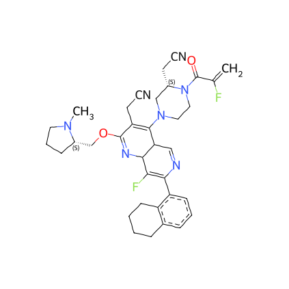 C=C(F)C(=O)N1CCN(C2=C(CC#N)C(OC[C@@H]3CCCN3C)=NC3C(F)=C(c4cccc5c4CCCC5)N=CC23)C[C@@H]1CC#N